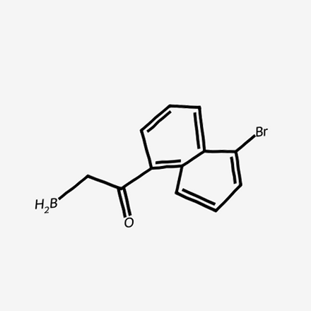 BCC(=O)c1cccc2c(Br)cccc12